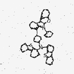 c1ccc(-n2c3oc4ccccc4c3c3cccc(-c4ccc(N(c5cccc6c5sc5ccccc56)c5cccc6c5sc5ccccc56)cc4)c32)cc1